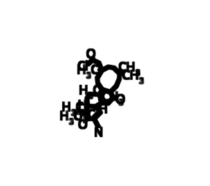 CC1(C)CCC2C(=O)C[C@@H]3[C@@]4(C)C=C(C#N)C(=O)C(C)(C)[C@@H]4CC[C@@]3(C)[C@]2(C)CC[C@@](C)(CC(=O)Cl)CC1